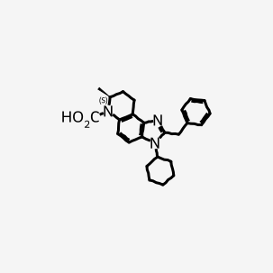 C[C@H]1CCc2c(ccc3c2nc(Cc2ccccc2)n3C2CCCCC2)N1C(=O)O